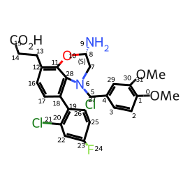 COc1ccc(CN2C[C@@H](N)Oc3c(CCC(=O)O)ccc(-c4c(Cl)cc(F)cc4Cl)c32)cc1OC